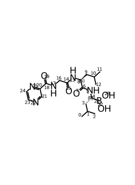 CC(C)C[C@H](NC(=O)[C@H](CC(C)C)NC(=O)CNC(=O)c1cnccn1)B(O)O